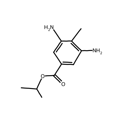 Cc1c(N)cc(C(=O)OC(C)C)cc1N